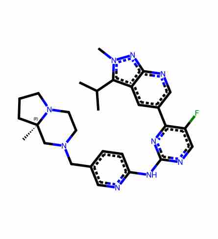 CC(C)c1c2cc(-c3nc(Nc4ccc(CN5CCN6CCC[C@]6(C)C5)cn4)ncc3F)cnc2nn1C